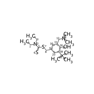 CCN(CC)C(=S)SCc1cc(CN(C)C)c(O)c(C(C)(C)C)c1